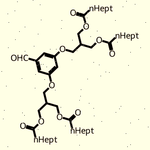 CCCCCCCC(=O)OCC(COC(=O)CCCCCCC)COc1cc(C=O)cc(OCC(COC(=O)CCCCCCC)COC(=O)CCCCCCC)c1